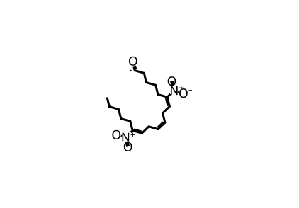 CCCCC/C(=C\C/C=C\C/C=C(\CCCC[C]=O)[N+](=O)[O-])[N+](=O)[O-]